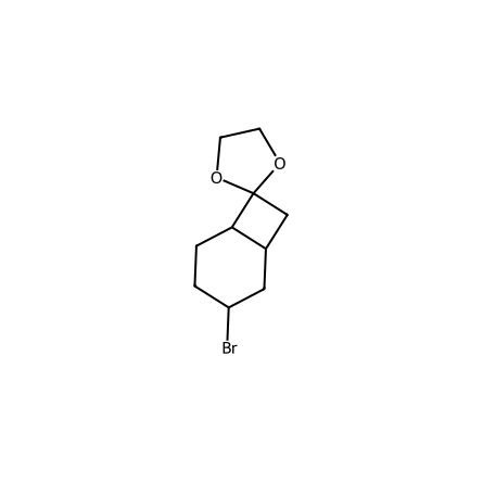 BrC1CCC2C(C1)CC21OCCO1